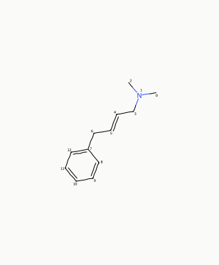 CN(C)CC=CCc1[c]cccc1